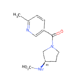 Cc1ccc(C(=O)N2CC[C@@H](NC(=O)O)C2)cn1